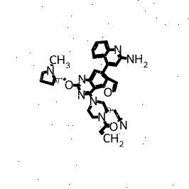 C=CC(=O)N1CCN(c2nc(OC[C@@H]3CCCN3C)nc3cc(-c4cc(N)nc5ccccc45)c4ccoc4c23)C[C@@H]1CC#N